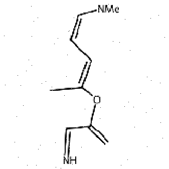 C=C(C=N)O/C(C)=C/C=C\NC